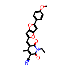 CCN1C(=O)C(C#N)=C(C)/C(=C/c2cc3oc(-c4ccc(OC)cc4)cc3o2)C1=O